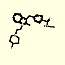 Cc1c(Cc2ccc(C(=O)NO)cc2)c2ccccc2n1CCN1CCC(F)CC1